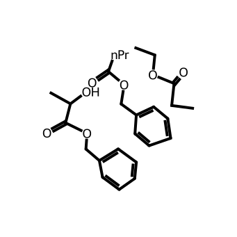 CC(O)C(=O)OCc1ccccc1.CCCC(=O)OCc1ccccc1.CCOC(=O)CC